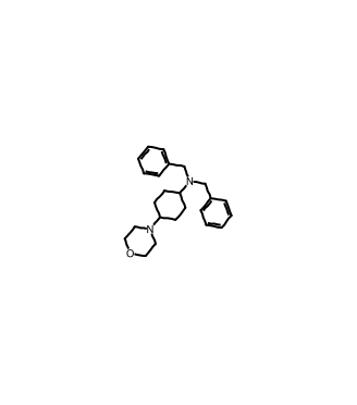 c1ccc(CN(Cc2ccccc2)C2CCC(N3CCOCC3)CC2)cc1